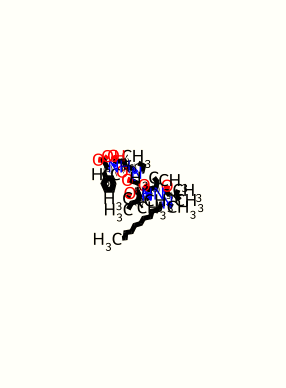 CCCCCCCCCCCN(C)[C@H](C(=O)N[C@H](C(=O)N(C)[C@@H]([C@@H](C)CC)[C@@H](CC(=O)N1CCC[C@H]1[C@H](OC)[C@@H](C)C(=O)N[C@@H](Cc1ccccc1)C(=O)O)OC)C(C)C)C(C)C